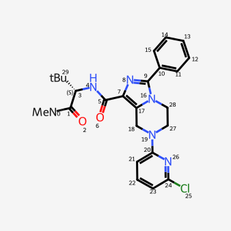 CNC(=O)[C@@H](NC(=O)c1nc(-c2ccccc2)n2c1CN(c1cccc(Cl)n1)CC2)C(C)(C)C